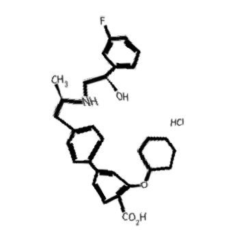 C[C@H](Cc1ccc(-c2ccc(C(=O)O)c(OC3CCCCC3)c2)cc1)NC[C@H](O)c1cccc(F)c1.Cl